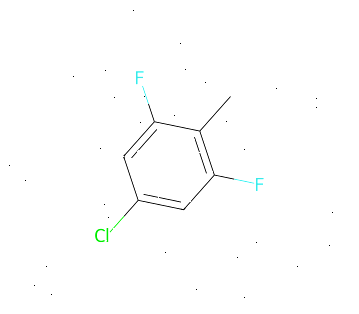 Cc1c(F)cc(Cl)cc1F